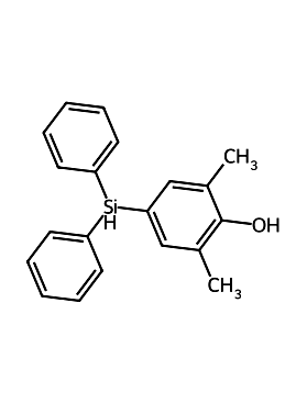 Cc1cc([SiH](c2ccccc2)c2ccccc2)cc(C)c1O